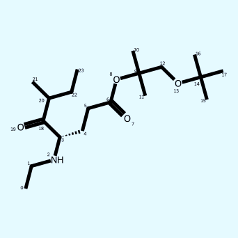 CCN[C@@H](CCC(=O)OC(C)(C)COC(C)(C)C)C(=O)C(C)CC